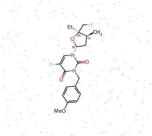 CC[C@@]1(CF)O[C@@H](n2cc(F)c(=O)n(Cc3ccc(OC)cc3)c2=O)C[C@@H]1C